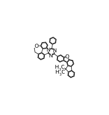 CC1(C)c2ccccc2-c2ccc3oc4cc(-c5nc(-c6ccccc6)nc(-c6cccc7c6-c6ccccc6OCC7)n5)ccc4c3c21